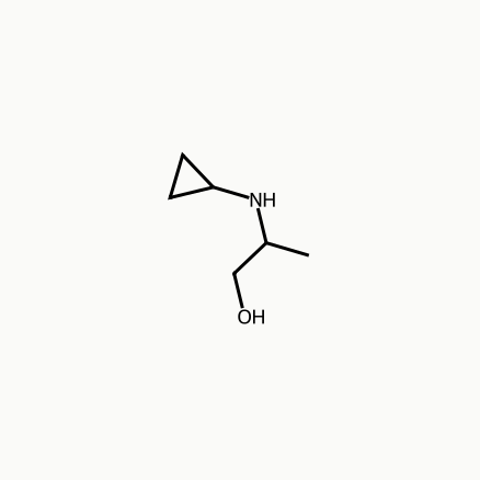 CC(CO)NC1CC1